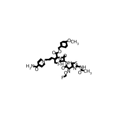 COc1ccc(COC(=O)C2=C(/C=C/C[n+]3ccc(C(N)=O)cc3)CS[C@H]3[C@H](NC(=O)/C(=N\OCF)c4csc(NC(C)=O)n4)C(=O)N23)cc1